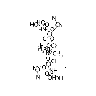 Cc1c(COc2cc(OCc3cncc(C#N)c3)c(CNC(CCO)C(=O)O)cc2Cl)cccc1-c1c(C)c(COc2cc(OCc3cncc(C#N)c3)c(CNC(CCO)C(=O)O)cc2Cl)nn1C